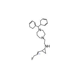 FC/C=C/C1CC1NCCN1CCCN(C(C2=CC=CCC2)C2C=CC=CC2)CC1